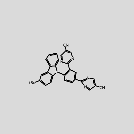 CC(C)(C)c1ccc2c(c1)c1ccccc1n2-c1ccc(-c2ncc(C#N)cn2)cc1-c1ncc(C#N)cn1